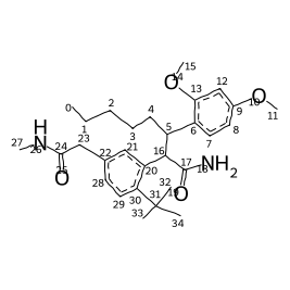 CCCCCC(c1ccc(OC)cc1OC)C(C(N)=O)c1cc(CC(=O)NC)ccc1C(C)(C)C